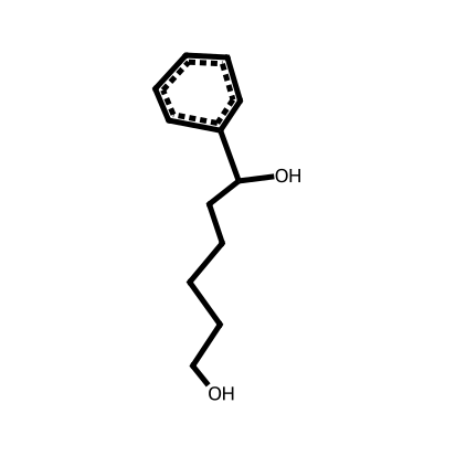 OCCCCCC(O)c1ccccc1